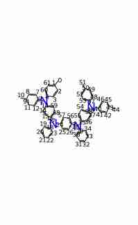 Cc1ccc(N(c2ccc(C)cc2)c2ccc(N(c3ccccc3)c3ccc(N(c4ccccc4)c4ccc(N(c5ccc(C)cc5)c5ccc(C)cc5)cc4)cc3)cc2)cc1